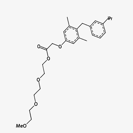 COCCOCCOCCOC(=O)COc1cc(C)c(Cc2cccc(C(C)C)c2)c(C)c1